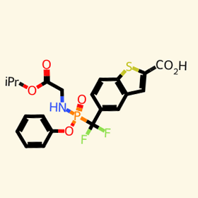 CC(C)OC(=O)CNP(=O)(Oc1ccccc1)C(F)(F)c1ccc2sc(C(=O)O)cc2c1